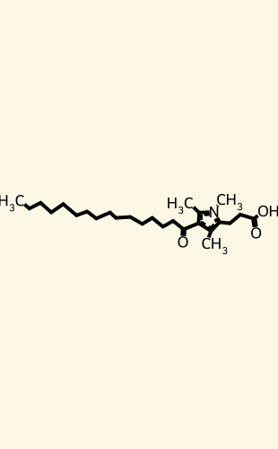 CCCCCCCCCCCCCCCC(=O)c1c(C)c(CCC(=O)O)n(C)c1C